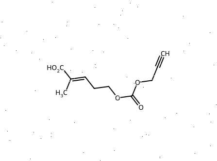 C#CCOC(=O)OCCC=C(C)C(=O)O